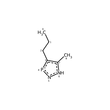 CCCc1pn[nH]c1C